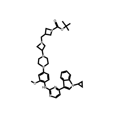 COc1cc(N2CCN(C3CN(CC4CN(C(=O)OC(C)(C)C)C4)C3)CC2)ccc1Nc1nccc(-c2cn(C3CC3)c3ccccc23)n1